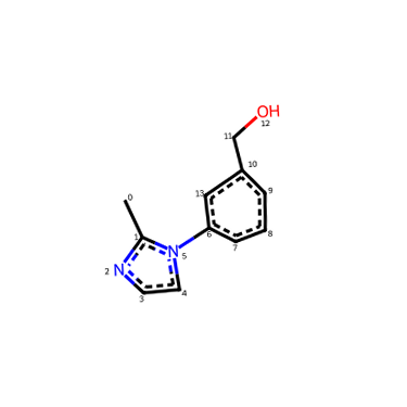 Cc1nccn1-c1cccc(CO)c1